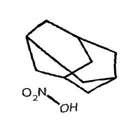 C1C2CC3CC1CC(C2)C3.O=[N+]([O-])O